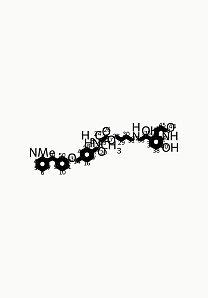 CNC(c1ccccc1)c1cccc(OCc2ccc(C(=O)NC(C)(C)C(=O)OCCCCNCC(O)c3ccc(O)c4[nH]c(=O)ccc34)cc2)c1